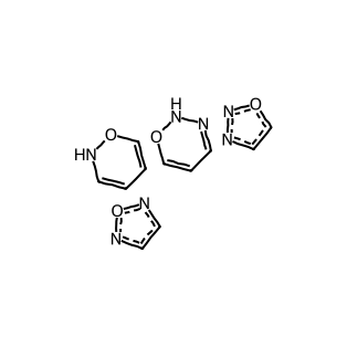 C1=CNOC=C1.C1=CONN=C1.c1cnon1.c1conn1